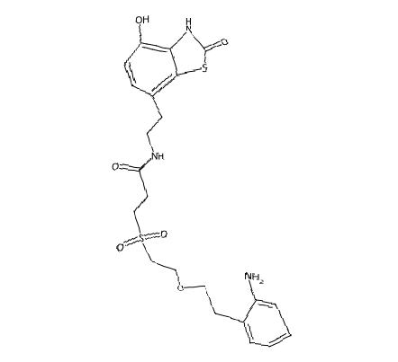 Nc1ccccc1CCOCCS(=O)(=O)CCC(=O)NCCc1ccc(O)c2[nH]c(=O)sc12